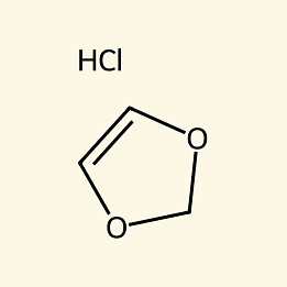 C1=COCO1.Cl